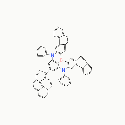 c1ccc(N2c3cc4c(ccc5ccccc54)cc3B3c4cc5ccc6ccccc6c5cc4N(c4ccccc4)c4cc(-c5ccc6ccc7cccc8ccc5c6c78)cc2c43)cc1